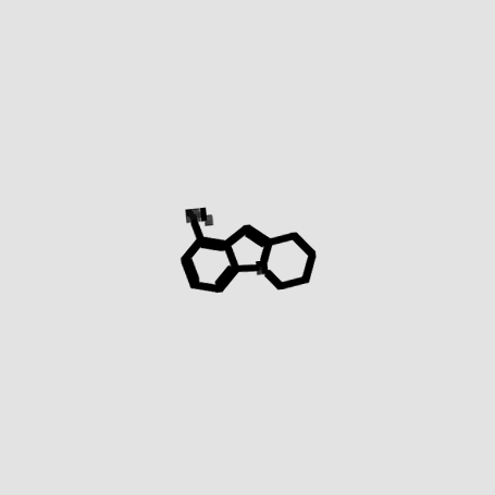 Nc1cccc2c1cc1n2CCCC1